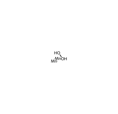 OO.[Mn].[Mn]